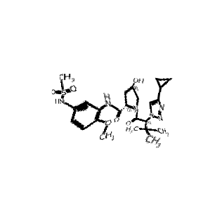 COc1ccc(NS(C)(=O)=O)cc1NC(=O)[C@@H]1C[C@@H](O)CN1C(=O)[C@@H](n1cc(C2CC2)nn1)C(C)(C)C